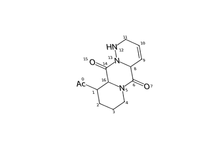 CC(=O)C1CCCN2C(=O)C3C=CCNN3C(=O)C12